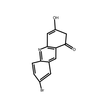 O=C1CC(O)=Cc2nc3ccc(Br)cc3cc21